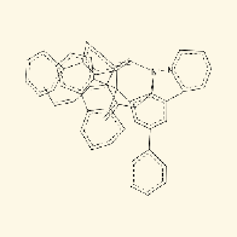 C=C1CC[N+]23c4c(cc(-c5ccccc5)cc4C4(c5ccccc5-c5ccccc54)c4cc(-c5ccccc5)cc(c42)-c2cccc[n+]23)/C1=C/C=C\C